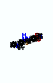 CC(C)N(c1ccccc1)c1ccc(Nc2nc(-c3ccc(S(=O)(=O)N(C)C)cc3)cs2)cc1